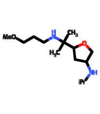 COCCCNC(C)(C)C1CC(NC(C)C)CO1